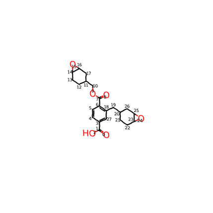 O=C(O)c1ccc(C(=O)OCC2CCC3OC3C2)c(CC2CCC3OC3C2)c1